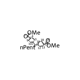 CCCCCC(c1ccc(C(=O)OC)cc1)c1ccc(C(=O)OC)cc1